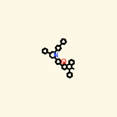 CC1c2ccccc2-c2c(ccc3c2oc2cc(C4CCC(c5ccccc5)=CC(c5ccc(-c6ccccc6)cc5)=N4)ccc23)C1c1ccccc1